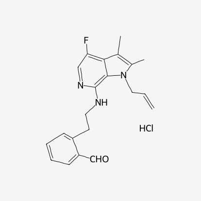 C=CCn1c(C)c(C)c2c(F)cnc(NCCc3ccccc3C=O)c21.Cl